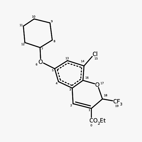 CCOC(=O)C1=Cc2cc(OC3CCCCC3)cc(Cl)c2OC1C(F)(F)F